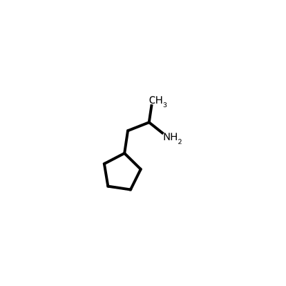 CC(N)CC1CCCC1